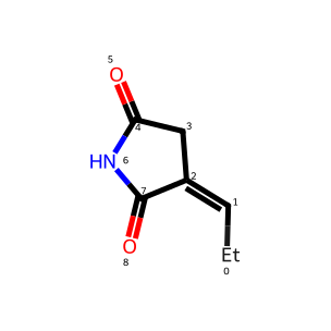 CCC=C1CC(=O)NC1=O